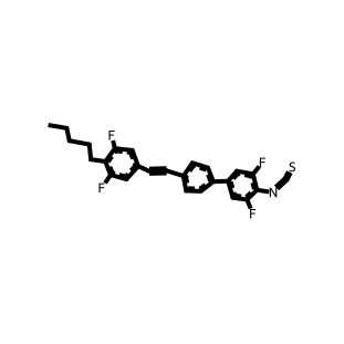 CCCCCc1c(F)cc(C#Cc2ccc(-c3cc(F)c(N=C=S)c(F)c3)cc2)cc1F